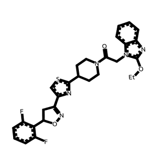 CCOc1nc2ccccc2n1CC(=O)N1CCC(c2nc(C3=NOC(c4c(F)cccc4F)C3)cs2)CC1